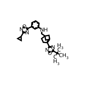 CC(C)(C)c1nc(C2=C3CC(CNc4cccc(-c5nc(C6CC6)no5)c4)(CC2)C3)no1